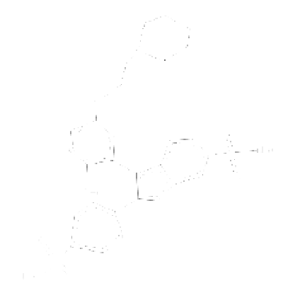 CCCCCS(=O)(=O)c1ccc(-c2sc3cc(S(=O)(=O)CCCCC)ccc3c2-c2cc(OCCN3CCCCC3)ccc2C=O)cc1